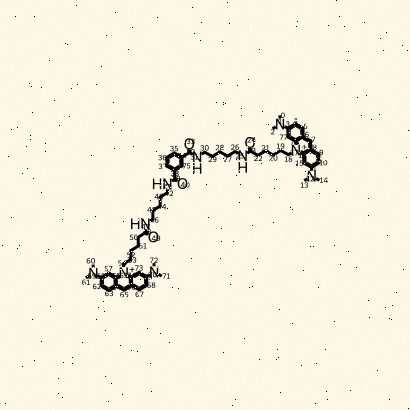 CN(C)c1ccc2cc3ccc(N(C)C)cc3[n+](CCCCCC(=O)NCCCCCNC(=O)c3cccc(C(=O)NCCCCCNC(=O)CCCCC[n+]4c5cc(N(C)C)ccc5cc5ccc(N(C)C)cc54)c3)c2c1